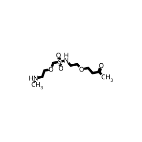 CNCCOCS(=O)(=O)NCCOCCC(C)=O